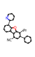 CC(C)c1c(-c2ccccc2)cc(C#N)c2c1oc1c(-c3ccccn3)cccc12